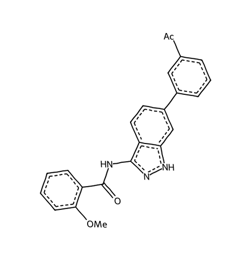 COc1ccccc1C(=O)Nc1n[nH]c2cc(-c3cccc(C(C)=O)c3)ccc12